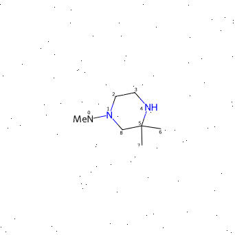 CNN1CCNC(C)(C)C1